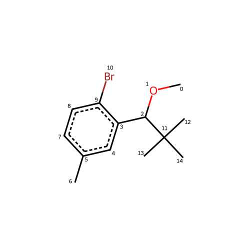 COC(c1cc(C)ccc1Br)C(C)(C)C